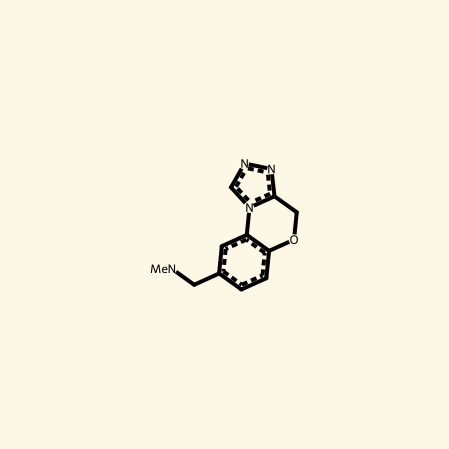 CNCc1ccc2c(c1)-n1cnnc1CO2